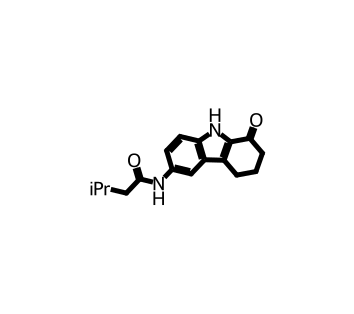 CC(C)CC(=O)Nc1ccc2[nH]c3c(c2c1)CCCC3=O